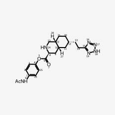 CC(=O)Nc1ccc(OC(=O)[C@@H]2C[C@H]3C[C@@H](CCc4nn[nH]n4)CC[C@H]3CN2)cc1